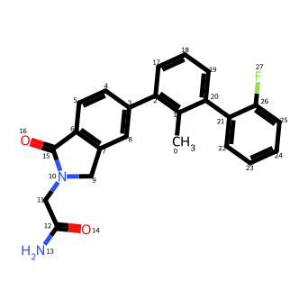 Cc1c(-c2ccc3c(c2)CN(CC(N)=O)C3=O)cccc1-c1ccccc1F